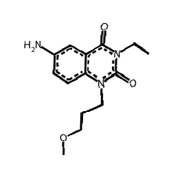 CCn1c(=O)c2cc(N)ccc2n(CCCOC)c1=O